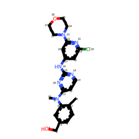 Cc1ccc(CO)cc1N(C)c1ccnc(Nc2cc(Cl)nc(N3CCOCC3)c2)n1